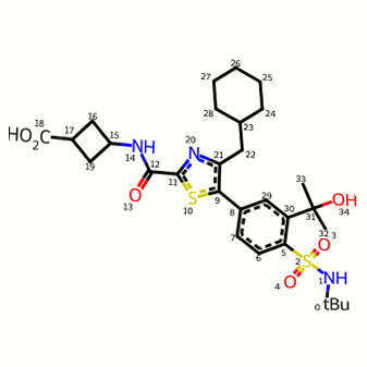 CC(C)(C)NS(=O)(=O)c1ccc(-c2sc(C(=O)NC3CC(C(=O)O)C3)nc2CC2CCCCC2)cc1C(C)(C)O